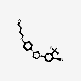 N#Cc1ccc(N2CC[C@@H](c3ccc(OCCCC=O)cc3)C2)cc1C(F)(F)F